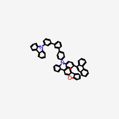 c1cc(-c2ccc(N(c3ccc(-c4cc5ccccc5c5ccccc45)cc3)c3ccccc3-c3ccc4c(c3)oc3ccccc34)cc2)cc(-c2cccc(-n3c4ccccc4c4ccccc43)c2)c1